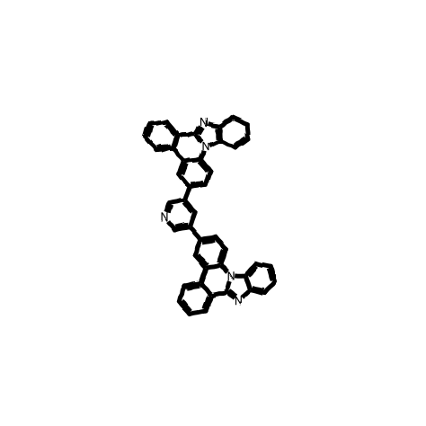 C1=Cc2c(nc3c4ccccc4c4cc(-c5cncc(-c6ccc7c(c6)c6ccccc6c6nc8ccccc8n76)c5)ccc4n23)CC1